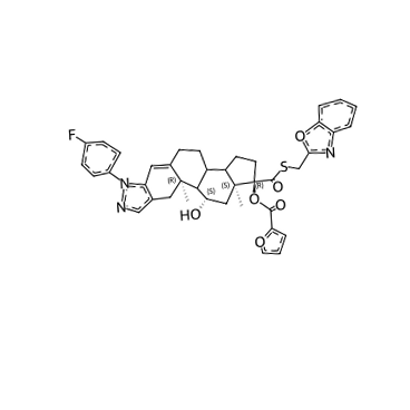 C[C@]12Cc3cnn(-c4ccc(F)cc4)c3C=C1CCC1C2[C@@H](O)C[C@@]2(C)C1CC[C@]2(OC(=O)c1ccco1)C(=O)SCc1nc2ccccc2o1